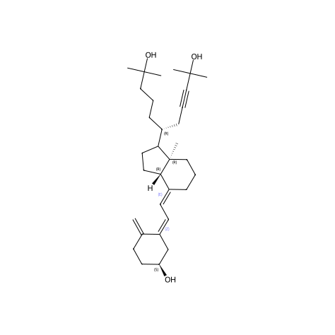 C=C1CC[C@H](O)C/C1=C/C=C1\CCC[C@]2(C)C([C@@H](CC#CC(C)(C)O)CCCC(C)(C)O)CC[C@@H]12